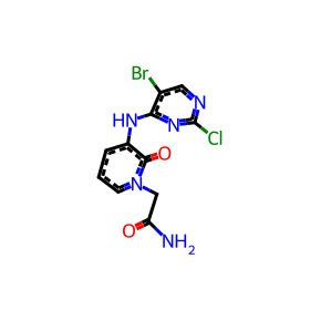 NC(=O)Cn1cccc(Nc2nc(Cl)ncc2Br)c1=O